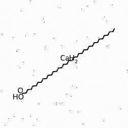 CCCCCCCCCCCCCCCCCCCCCCCCCCCCCCCCCCCCC(=O)O.[CaH2]